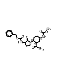 CC(C)(C)OC(=O)N[C@@H]1CC[C@H](N2CCC(NC(=O)OCc3ccccc3)C2=O)[C@H](C(N)=O)C1